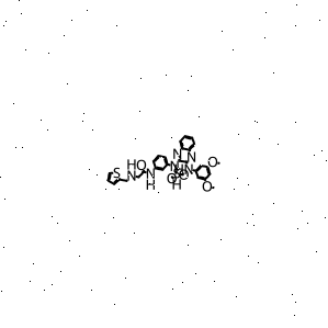 COc1cc(Nc2nc3ccccc3nc2N(c2cccc(NC(=O)CNCc3cccs3)c2)[SH](=O)=O)cc(OC)c1